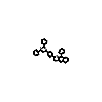 c1ccc(-c2cc(-c3ccc(-c4ccc5cc6ccccc6c(-c6ccccc6)c5n4)cc3)nc(-c3ccccc3)n2)cc1